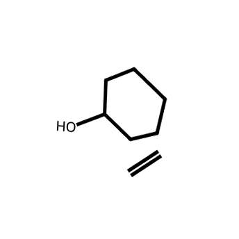 C=C.OC1CCCCC1